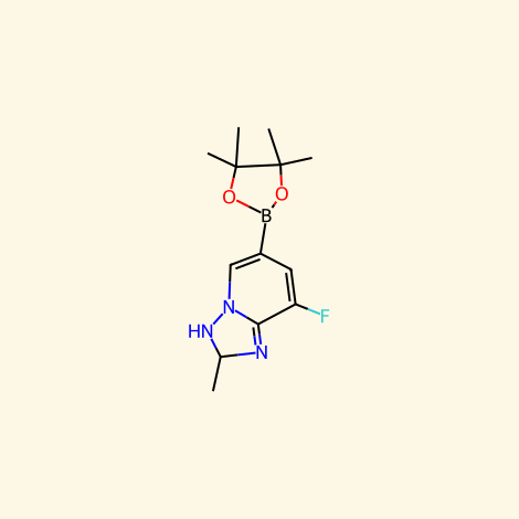 CC1N=C2C(F)=CC(B3OC(C)(C)C(C)(C)O3)=CN2N1